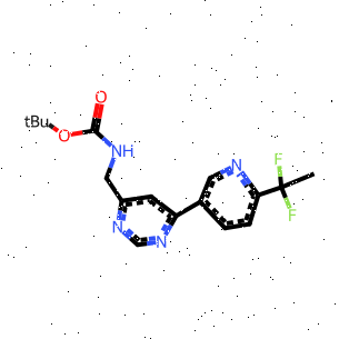 CC(C)(C)OC(=O)NCc1cc(-c2ccc(C(C)(F)F)nc2)ncn1